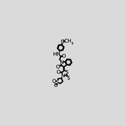 COc1ccc(NC(=O)CN2C(=O)C(=C3SC(=S)N(C4CCS(=O)(=O)C4)C3=O)c3ccccc32)cc1